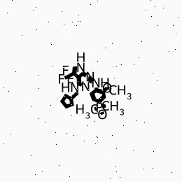 COc1cc(P(C)(C)=O)ccc1Nc1nc(NCC2CCCC2)c2c(C(F)(F)F)c[nH]c2n1